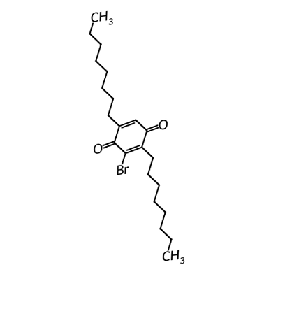 CCCCCCCCC1=CC(=O)C(CCCCCCCC)=C(Br)C1=O